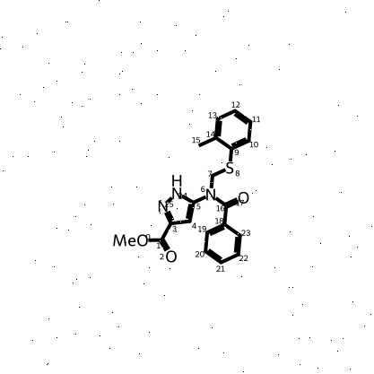 COC(=O)c1cc(N(CSc2ccccc2C)C(=O)c2ccccc2)[nH]n1